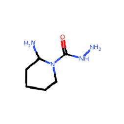 NNC(=O)N1CCCCC1N